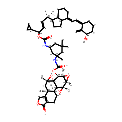 C=C1/C(=C\C=C2/CCC[C@@]3(C)C2CCC3[C@@H](C)/C=C/C(OC(=O)NC2CC(C)(C)CC(C)(NC(=O)O[C@@H]3[C@@]4(C(C)C)O[C@H]4[C@@H]4O[C@]45[C@]34O[C@H]4C[C@H]3C4=C(CC[C@@]35C)C(=O)OC4)C2)C2CC2)CCC[C@@H]1O